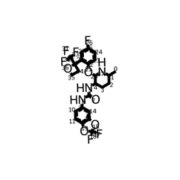 CC1CCC(NC(=O)Nc2ccc3c(c2)OC(F)(F)O3)C(Oc2ccc(F)cc2C2(C(F)(F)F)CCO2)N1